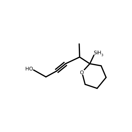 CC(C#CCO)C1([SiH3])CCCCO1